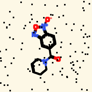 O=C(c1ccc2c(c1)no[n+]2[O-])N1CC=CCC1